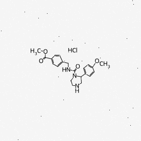 COC(=O)c1ccc(CNC(=O)N2CCNCC2c2ccc(OC)cc2)cc1.Cl